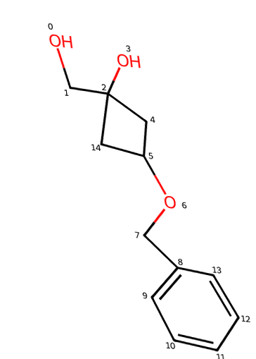 OCC1(O)CC(OCc2ccccc2)C1